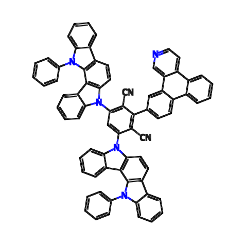 N#Cc1c(-n2c3ccccc3c3c2ccc2c4ccccc4n(-c4ccccc4)c23)cc(-n2c3ccccc3c3c2ccc2c4ccccc4n(-c4ccccc4)c23)c(C#N)c1-c1ccc2c3ccccc3c3ccncc3c2c1